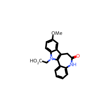 COc1ccc2c(c1)c1c(n2CC(=O)O)-c2ccccc2NC(=O)C1